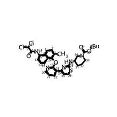 Cc1ccc2c(NC(=O)C(Cl)Cl)cccc2c1Oc1ncccc1-c1ccnc(N[C@H]2CCCN(C(=O)OC(C)(C)C)C2)n1